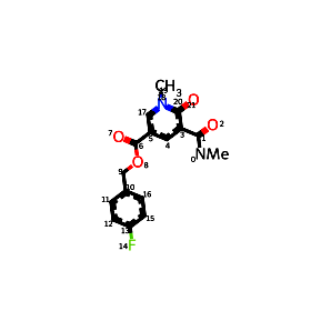 CNC(=O)c1cc(C(=O)OCc2ccc(F)cc2)cn(C)c1=O